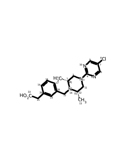 C[C@@H]1CN(c2ncc(Cl)cn2)C[C@H](C)N1Cc1cccc(CC(=O)O)c1